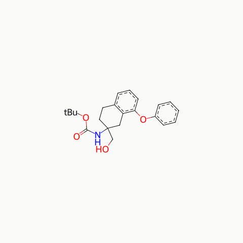 CC(C)(C)OC(=O)NC1(CO)CCc2cccc(Oc3ccccc3)c2C1